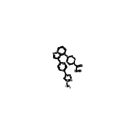 CNC(=O)C1CC=C(c2cccn3ncc(-c4ccc(-c5cnn(C)c5)cc4)c23)CC1